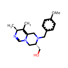 COc1ccc(CN2CC3=C(C)[C@H](C)N=CN3C[C@H]2CO)cc1